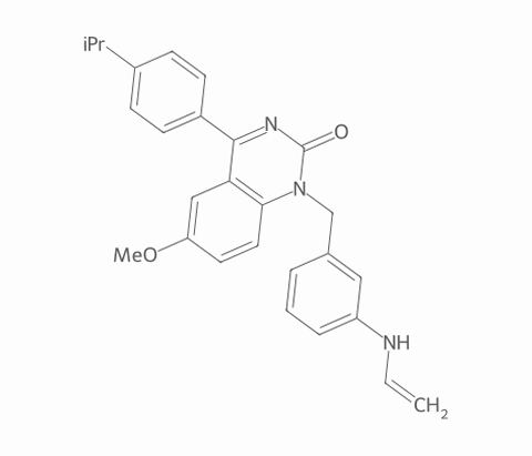 C=CNc1cccc(Cn2c(=O)nc(-c3ccc(C(C)C)cc3)c3cc(OC)ccc32)c1